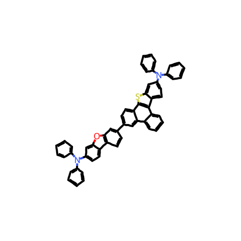 c1ccc(N(c2ccccc2)c2ccc3c(c2)oc2cc(-c4ccc5c(c4)c4ccccc4c4c6ccc(N(c7ccccc7)c7ccccc7)cc6sc54)ccc23)cc1